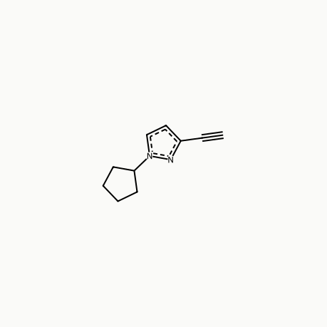 C#Cc1ccn(C2CCCC2)n1